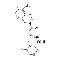 C[C@H]1CN(C[C@H](CC(=O)N2CCc3c(ncnc3C(F)(F)F)C2)NC(=O)O)C(=O)CO1